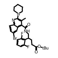 Cc1c(N2CCCCC2)nc2ccc(Br)cc2c1C(=O)NCC(CCC(=O)OC(C)(C)C)c1c(F)cccc1F